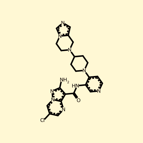 Nc1nn2cc(Cl)cnc2c1C(=O)Nc1cnccc1N1CCC(N2CCn3cncc3C2)CC1